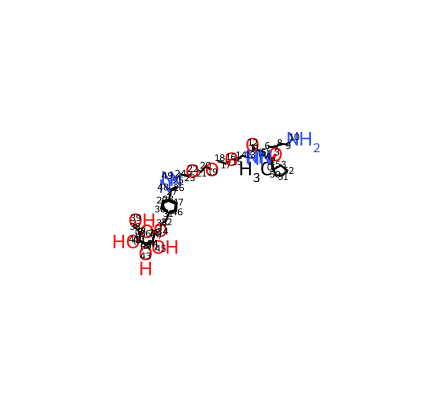 CC1(C(=O)N[C@@H](CCCCN)C(=O)NCCOCCOCCOCCn2cc(-c3ccc(CCO[C@@H]4O[C@H](CO)[C@@H](O)[C@H](O)[C@H]4O)cc3)nn2)CCCC1